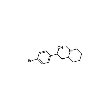 CN1CCCC[C@H]1C[C@H](O)c1ccc(Br)cc1